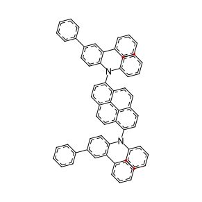 c1ccc(-c2ccc(N(c3ccccc3)c3ccc4ccc5c(N(c6ccccc6)c6ccc(-c7ccccc7)cc6-c6ccccc6)ccc6ccc3c4c65)c(-c3ccccc3)c2)cc1